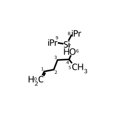 C=CCCC(C)O[SiH](C(C)C)C(C)C